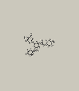 O=C1CN(c2cc(Nc3cnccn3)nc(NCc3ccc(F)cc3)n2)CCN1